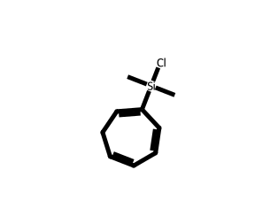 C[Si](C)(Cl)C1=CCC=CC=C1